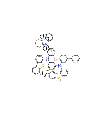 Cc1cc2c3c(c1)N(c1cccc4sc5ccccc5c14)c1cc(-c4ccccc4)ccc1B3c1ccc(N3c4ccccc4C4(C)CCCCC34C)cc1N2c1cccc2c1sc1ccccc12